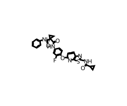 O=C(Nc1nc2ccc(Oc3ccc(NC(=O)C4(C(=O)Nc5ccccc5)CC4)cc3F)nc2s1)C1CC1